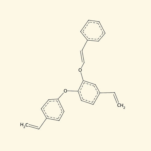 C=Cc1ccc(Oc2ccc(C=C)cc2OC=Cc2ccccc2)cc1